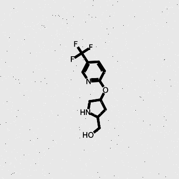 OCC1CC(Oc2ccc(C(F)(F)F)cn2)CN1